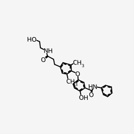 Cc1cc(CCC(=O)NCCO)cc(C)c1Oc1ccc(O)c(C(=O)Nc2ccccc2)c1